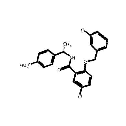 C[C@H](NC(=O)c1cc(Cl)ccc1OCc1cccc(Cl)c1)c1ccc(C(=O)O)cc1